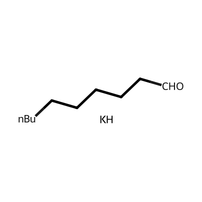 CCCCCCCCCC=O.[KH]